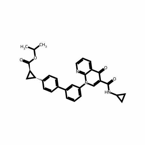 CC(C)OC(=O)[C@@H]1C[C@H]1c1ccc(-c2cccc(-n3cc(C(=O)NC4CC4)c(=O)c4cccnc43)c2)cc1